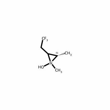 C[C@H]1C(CC(F)(F)F)[Si]1(C)O